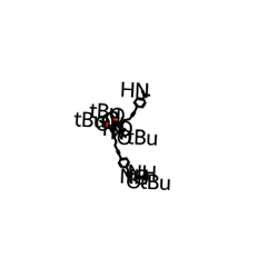 CC(=N)c1ccc(C#CCCCN(C(=O)OC(C)(C)C)/C(=N\C(=O)OC(C)(C)C)N(CCCC#Cc2ccc(C(=N)NC(=O)OC(C)(C)C)cc2)C(=O)OC(C)(C)C)cc1